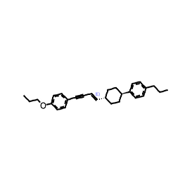 CCCOc1ccc(C#C/C=C/[C@H]2CC[C@H](c3ccc(CCC)cc3)CC2)cc1